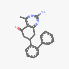 Cc1nc(N)nc2c1C(=O)CC(c1ccccc1-c1ccccc1)C2